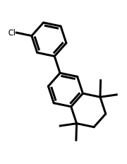 CC1(C)CCC(C)(C)c2cc(-c3cccc(Cl)c3)ccc21